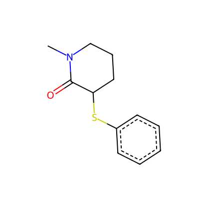 CN1CCCC(Sc2ccccc2)C1=O